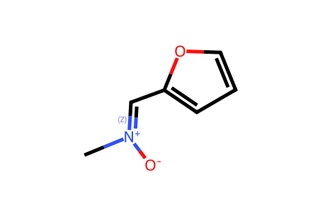 C/[N+]([O-])=C/c1ccco1